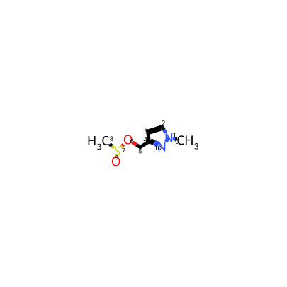 Cn1ccc(COS(C)=O)n1